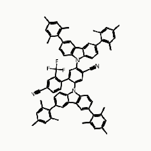 Cc1cc(C)c(-c2ccc3c(c2)c2cc(-c4c(C)cc(C)cc4C)ccc2n3-c2cc(-c3ccc(C#N)cc3C(F)(F)F)c(-n3c4ccc(-c5c(C)cc(C)cc5C)cc4c4cc(-c5c(C)cc(C)cc5C)ccc43)cc2C#N)c(C)c1